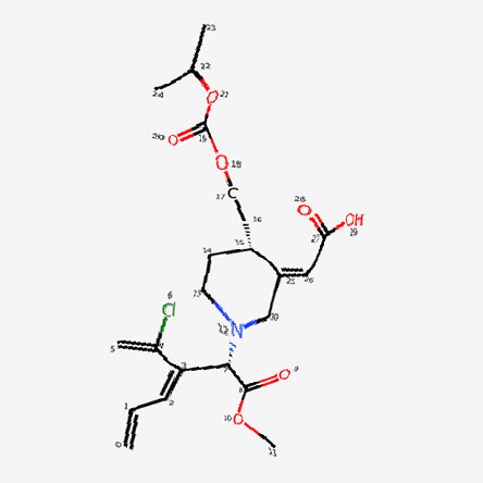 C=C/C=C(\C(=C)Cl)[C@@H](C(=O)OC)N1CC[C@H](CCOC(=O)OC(C)C)/C(=C\C(=O)O)C1